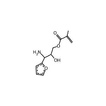 C=C(C)C(=O)OCC(O)C(N)c1ccco1